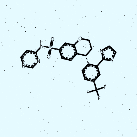 O=S(=O)(Nc1ccncn1)c1ccc2c(c1)OCC[C@@H]2c1ccc(C(F)(F)F)cc1-c1nccs1